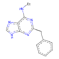 CCNc1nc(Cc2ccccc2)nc2[nH]cnc12